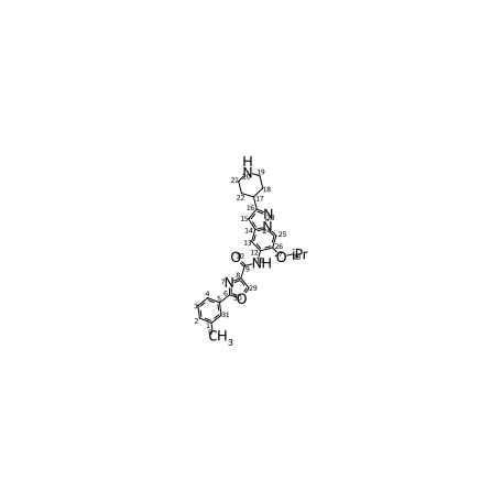 Cc1cccc(-c2nc(C(=O)Nc3cc4cc(C5CCNCC5)nn4cc3OC(C)C)co2)c1